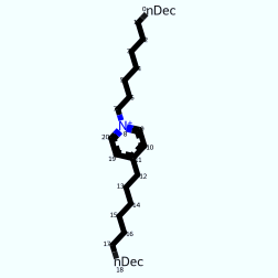 CCCCCCCCCCCCCCCCC[n+]1ccc(CCCCCCCCCCCCCCCC)cc1